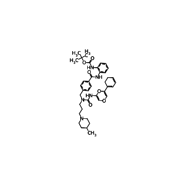 CC1CCN(CCCN(Cc2ccc(C(=O)Nc3ccccc3NC(=O)OC(C)(C)C)cc2)C(=O)NC2=COC=C(C3=CC=CCC3)O2)CC1